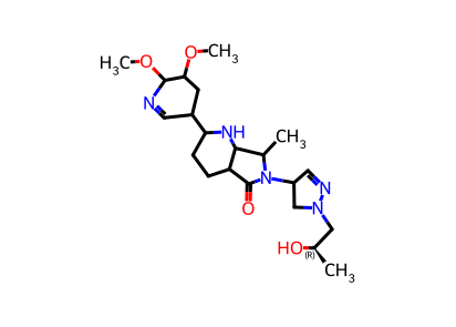 COC1CC(C2CCC3C(=O)N(C4C=NN(C[C@@H](C)O)C4)C(C)C3N2)C=NC1OC